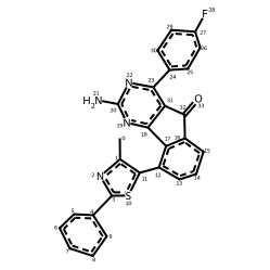 Cc1nc(-c2ccccc2)sc1-c1cccc2c1-c1nc(N)nc(-c3ccc(F)cc3)c1C2=O